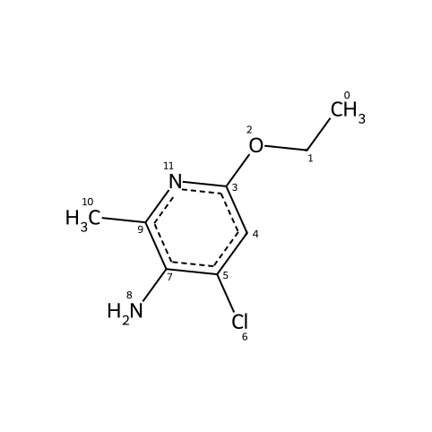 CCOc1cc(Cl)c(N)c(C)n1